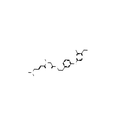 CCc1ncc(Nc2cccc(C[C@H](C)NC(=O)CN(C)C(=O)/C=C/CN(C)C)c2)nc1C